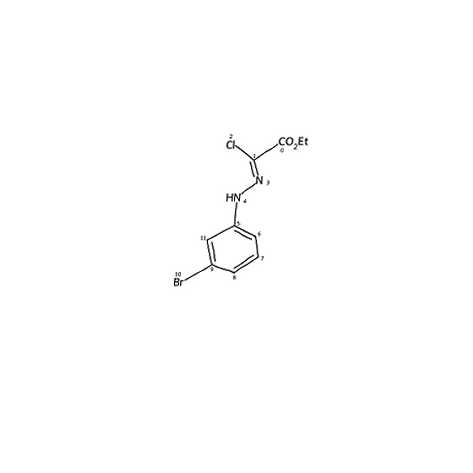 CCOC(=O)/C(Cl)=N/Nc1cccc(Br)c1